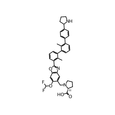 Cc1c(-c2ccc(C3CCCN3)cc2)cccc1-c1cccc(-c2nc3cc(CN4CCC[C@H]4C(=O)O)c(OC(F)F)cc3o2)c1C